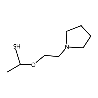 CC(S)OCCN1CCCC1